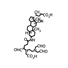 CC(CCC(=O)O)[C@H]1CCC2C3CC[C@@H]4C[C@@H](NC(=O)CC[C@@H](C=O)N(CCN(CC=O)CC=O)CC(=O)O)CC[C@]4(C)C3C[C@H](O)[C@@]21C